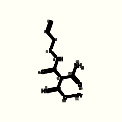 C=CCSNC(=O)N(C(=N)OCCC)C(N)=O